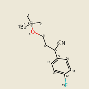 CC(C)(C)[Si](C)(C)OCCC(C#N)c1ccc(F)cc1